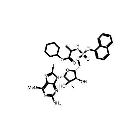 COc1nc(N)nc2c1nc(I)n2[C@@H]1O[C@H](COP(=O)(NC(C)C(=O)OC2CCCCC2)Oc2cccc3ccccc23)[C@@H](O)[C@@]1(C)O